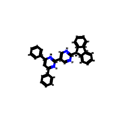 c1ccc(-c2cc(-c3ccccc3)nc(-c3cnc(B4c5ccccc5-c5ccccc54)nc3)n2)cc1